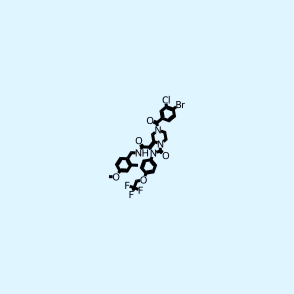 COc1ccc(CNC(=O)c2c3n(c(=O)n2-c2ccc(OCC(F)(F)F)cc2)CCN(C(=O)c2ccc(Br)c(Cl)c2)C3)c(C)c1